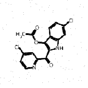 CC(=O)Oc1c(C(=O)c2cc(Cl)ccn2)[nH]c2cc(Cl)ccc12